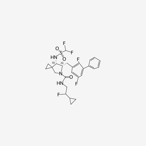 O=C(NCC(F)C1CC1)N1CC2(CC2)[C@H](NS(=O)(=O)C(F)F)[C@@H]1Cc1cc(F)cc(-c2ccccc2)c1F